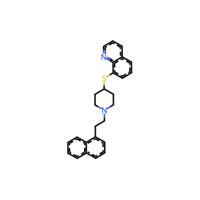 c1ccc2c(CCN3CCC(Sc4cccc5cccnc45)CC3)cccc2c1